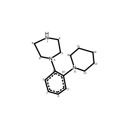 c1ccc(N2CCNCC2)c(N2CCCCC2)c1